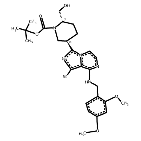 COc1ccc(CNc2nccn3c([C@@H]4CC[C@@H](CO)N(C(=O)OC(C)(C)C)C4)nc(Br)c23)c(OC)c1